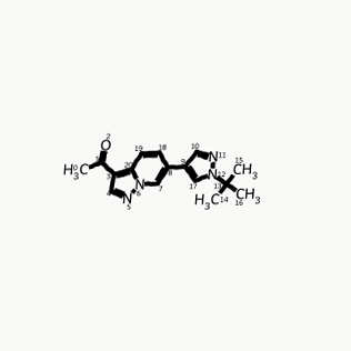 CC(=O)c1cnn2cc(-c3cnn(C(C)(C)C)c3)ccc12